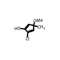 COC1(C)C=C(O)C(Cl)=C1